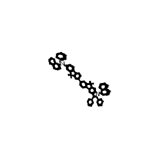 CC1(C)c2cc(-c3ccc4c(c3)C(C)(C)c3cc5c(cc3-4)c(-c3ccccc3)c(-c3ccccc3)n5-c3cccc4ccccc34)ccc2-c2ccc(N(c3ccccc3)c3cccc4ccccc34)cc21